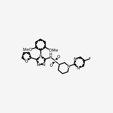 COc1cccc(OC)c1-n1c(NS(=O)(=O)[C@@H]2CCCN(c3ncc(F)cn3)C2)nnc1-c1ccco1